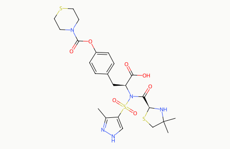 Cc1n[nH]cc1S(=O)(=O)N(C(=O)[C@H]1NC(C)(C)CS1)[C@@H](Cc1ccc(OC(=O)N2CCSCC2)cc1)C(=O)O